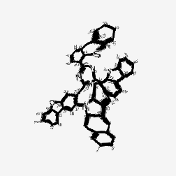 c1ccc2cc3c(cc2c1)c1ccccc1n3-c1cc2c(cc1-c1nc(-c3cccc4c3sc3ccccc34)nc(-c3cccc4c3sc3ccccc34)n1)oc1ccccc12